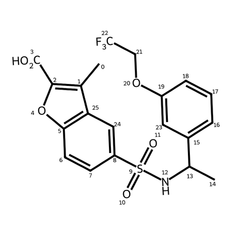 Cc1c(C(=O)O)oc2ccc(S(=O)(=O)NC(C)c3cccc(OCC(F)(F)F)c3)cc12